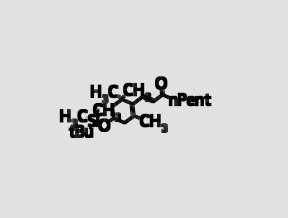 CCCCCC(=O)C=CC1=C(C)CC(O[Si](C)(C)C(C)(C)C)CC1(C)C